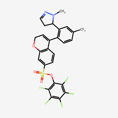 CN1N=CCC1c1cc(C(F)(F)F)ccc1C1=CCOc2cc(S(=O)(=O)Oc3c(F)c(F)c(F)c(F)c3F)ccc21